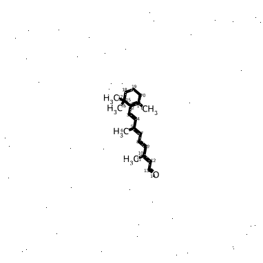 CC1=C(/C=C/C(C)=C/C=C/C(C)=C/[C]=O)C(C)(C)CCC1